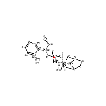 CCOC(=O)N1C2CCC1CC(NCCN(C=O)c1ccccc1Cl)C2